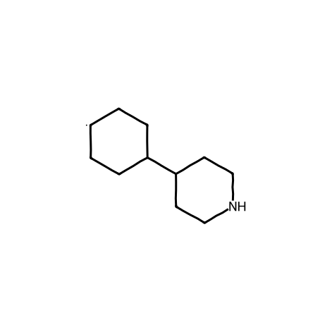 [CH]1CCC(C2CCNCC2)CC1